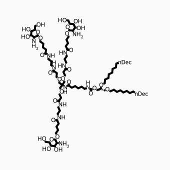 CCCCCCCCCCCCCCCCCCOC[C@H](COC(=O)NCCCCCC(=O)NC(COCCC(=O)NCCCNC(=O)CCCCOC1OC(CO)C(O)C(O)C1N)(COCCC(=O)NCCCNC(=O)CCCCOC1OC(CO)C(O)C(O)C1N)COCCC(=O)NCCCNC(=O)CCCCOC1OC(CO)C(O)C(O)C1N)OCCCCCCCCCCCCCCCCCC